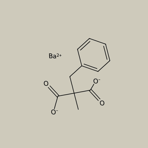 CC(Cc1ccccc1)(C(=O)[O-])C(=O)[O-].[Ba+2]